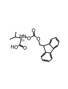 CC(C)[C@H](NOC(=O)OCC1c2ccccc2-c2ccccc21)C(=O)O